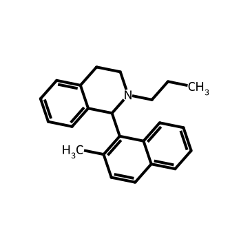 CCCN1CCc2ccccc2C1c1c(C)ccc2ccccc12